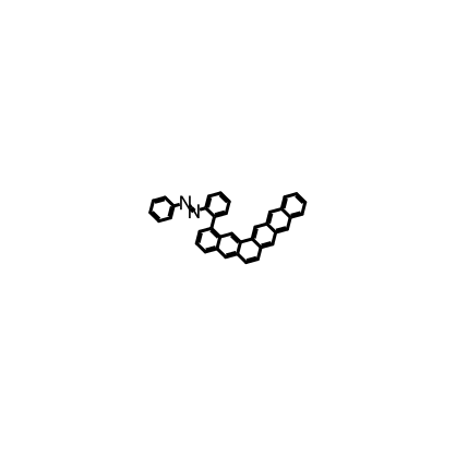 c1ccc(N=Nc2ccccc2-c2cccc3cc4ccc5cc6cc7ccccc7cc6cc5c4cc23)cc1